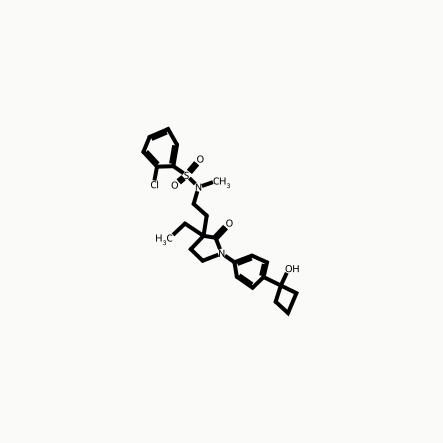 CCC1(CCN(C)S(=O)(=O)c2ccccc2Cl)CCN(c2ccc(C3(O)CCC3)cc2)C1=O